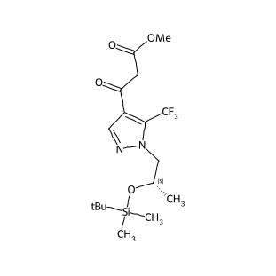 COC(=O)CC(=O)c1cnn(C[C@H](C)O[Si](C)(C)C(C)(C)C)c1C(F)(F)F